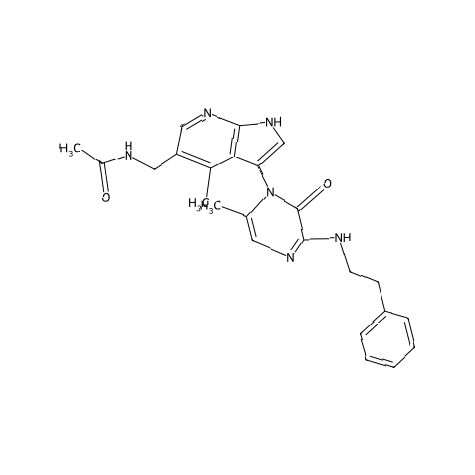 CC(=O)NCc1cnc2[nH]cc(-n3c(C)cnc(NCCc4ccccc4)c3=O)c2c1C